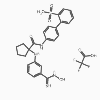 CS(=O)(=O)c1ccccc1-c1ccc(NC(=O)C2(Nc3cccc(C(=N)NO)c3)CCCC2)cc1.O=C(O)C(F)(F)F